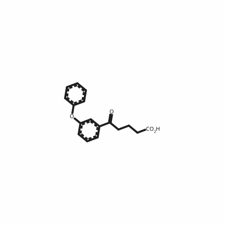 O=C(O)CCCC(=O)c1cccc(Oc2ccccc2)c1